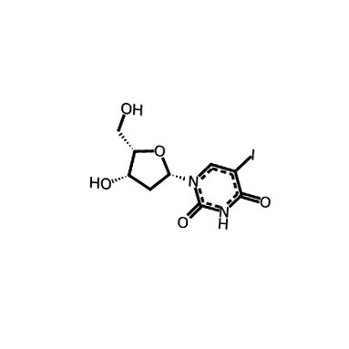 O=c1[nH]c(=O)n([C@@H]2C[C@H](O)[C@H](CO)O2)cc1I